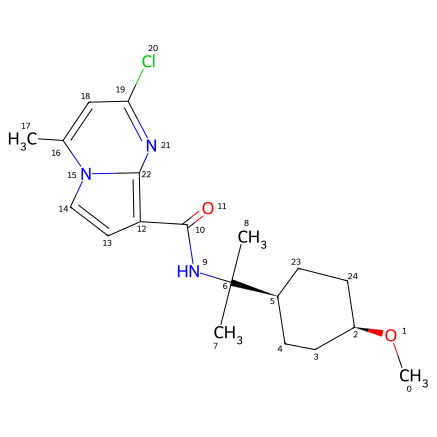 CO[C@H]1CC[C@@H](C(C)(C)NC(=O)c2ccn3c(C)cc(Cl)nc23)CC1